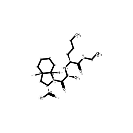 CCCC[C@H](N[C@@H](C)C(=O)N1[C@H](C(=O)O)C[C@@H]2CCCC[C@@H]21)C(=O)OCC